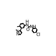 Cc1ccc(NC(=O)Nc2ccc(Cl)cc2)cc1-c1ccnn1C